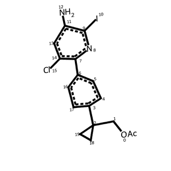 CC(=O)OCC1(c2ccc(-c3nc(I)c(N)cc3Cl)cc2)CC1